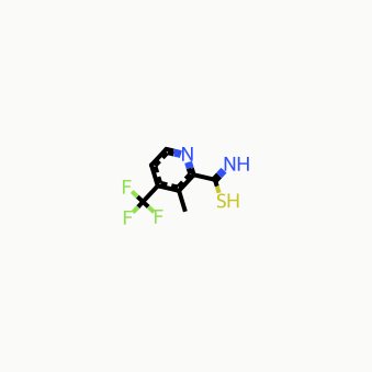 Cc1c(C(F)(F)F)ccnc1C(=N)S